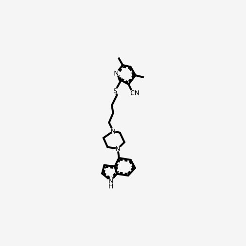 Cc1cc(C)c(C#N)c(SCCCCN2CCN(c3cccc4[nH]ccc34)CC2)n1